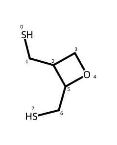 SCC1COC1CS